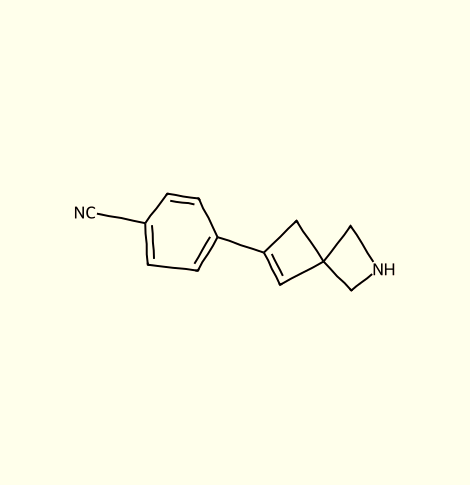 N#Cc1ccc(C2=CC3(CNC3)C2)cc1